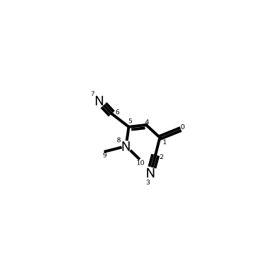 C=C(C#N)C=C(C#N)N(C)C